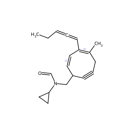 CCC=C=CC1=C(\C)CC#CC(CN(C=O)C2CC2)/C=C\1